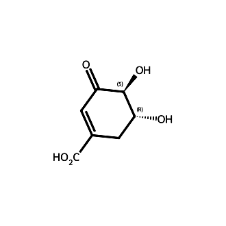 O=C(O)C1=CC(=O)[C@@H](O)[C@H](O)C1